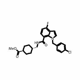 COC(=O)[C@H]1CC[C@H](CNC(=O)c2ccc(F)c3ccn(Cc4ccc(Cl)cc4)c23)CC1